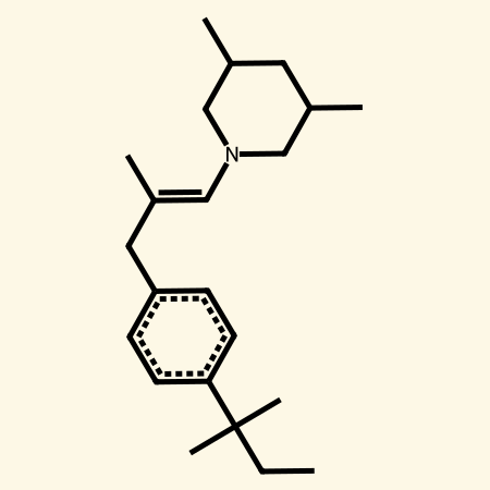 CCC(C)(C)c1ccc(CC(C)=CN2CC(C)CC(C)C2)cc1